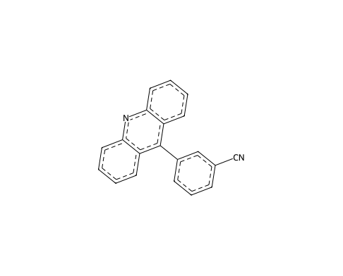 N#Cc1cccc(-c2c3ccccc3nc3ccccc23)c1